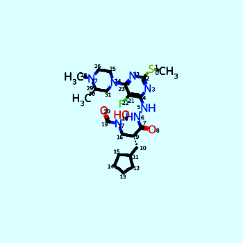 CSc1nc(NNC(=O)[C@H](CC2CCCC2)CN(O)C=O)c(F)c(N2CCN(C)[C@H](C)C2)n1